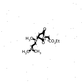 CCOC(=O)CN1C(=O)CC(N(C)CCN(C)C)C1=O